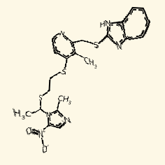 Cc1c(SCCSC(C)n2c([N+](=O)[O-])cnc2C)ccnc1CSc1nc2ccccc2[nH]1